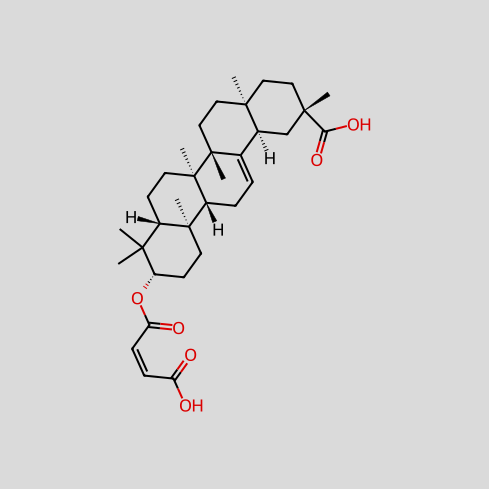 CC1(C)[C@@H](OC(=O)/C=C\C(=O)O)CC[C@]2(C)[C@H]3CC=C4[C@@H]5C[C@@](C)(C(=O)O)CC[C@]5(C)CC[C@@]4(C)[C@]3(C)CC[C@@H]12